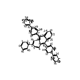 c1ccc(-c2ccc3c(-c4ccc(-c5cscn5)nc4)c4ccccc4c(-c4ccc(-c5cscn5)nc4)c3c2)cc1